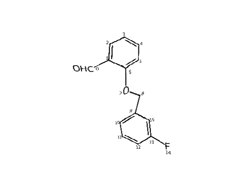 O=Cc1ccccc1OCc1cccc(F)c1